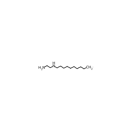 [CH2]CCCCCCCCCNCCN